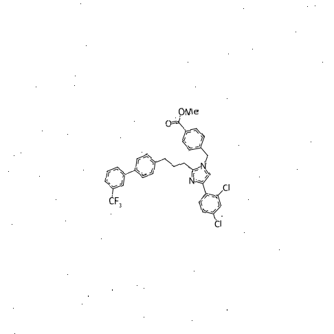 COC(=O)c1ccc(Cn2cc(-c3ccc(Cl)cc3Cl)nc2CCCc2ccc(-c3cccc(C(F)(F)F)c3)cc2)cc1